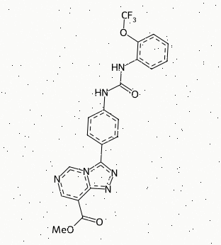 COC(=O)c1cncn2c(-c3ccc(NC(=O)Nc4ccccc4OC(F)(F)F)cc3)nnc12